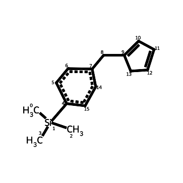 C[Si](C)(C)c1ccc(CC2=CC=CC2)cc1